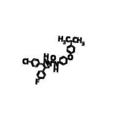 CC(C)c1ccc(Oc2ccc(NC(=O)N3CC(c4ccc(F)cc4)=C(c4ccc(Cl)cc4)N3)cc2)cc1